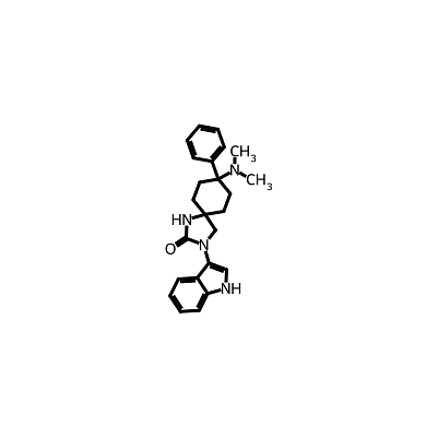 CN(C)C1(c2ccccc2)CCC2(CC1)CN(c1c[nH]c3ccccc13)C(=O)N2